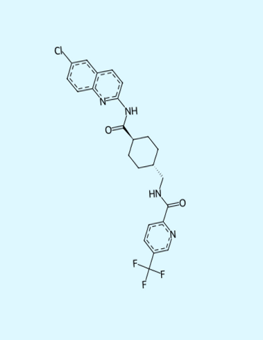 O=C(NC[C@H]1CC[C@H](C(=O)Nc2ccc3cc(Cl)ccc3n2)CC1)c1ccc(C(F)(F)F)cn1